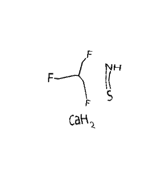 FC(F)F.N=S.[CaH2]